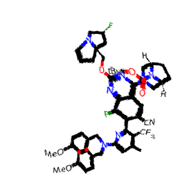 COc1ccc(CN(Cc2ccc(OC)cc2)c2cc(C)c(C(F)(F)F)c(-c3c(C#N)cc4c(N5C[C@H]6CC[C@@H](C5)N6C(=O)OC(C)(C)C)nc(OC[C@@]56CCCN5C[C@H](F)C6)nc4c3F)n2)cc1